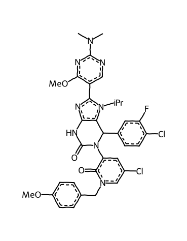 COc1ccc(Cn2cc(Cl)cc(N3C(=O)Nc4nc(-c5cnc(N(C)C)nc5OC)n(C(C)C)c4C3c3ccc(Cl)c(F)c3)c2=O)cc1